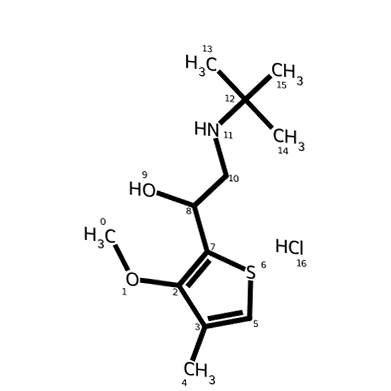 COc1c(C)csc1C(O)CNC(C)(C)C.Cl